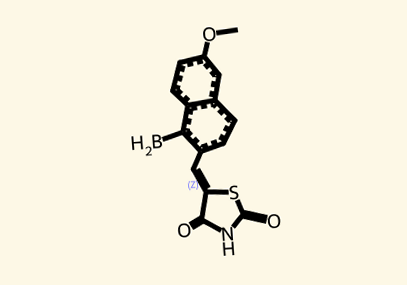 Bc1c(/C=C2\SC(=O)NC2=O)ccc2cc(OC)ccc12